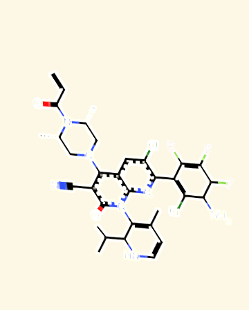 C=CC(=O)N1[C@H](C)CN(c2c(C#N)c(=O)n(C3=C(C)C=CNC3C(C)C)c3nc(C4=C(Cl)C(N)C(F)C(F)=C4F)c(Cl)cc23)C[C@@H]1C